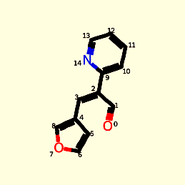 O=CC(=Cc1ccoc1)c1ccccn1